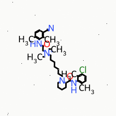 CC[N+](CC)(CCCCCCCN1CCCCC1C(=O)Nc1c(C)ccc(Cl)c1C)CC(=O)Nc1c(C)ccc(C#N)c1C